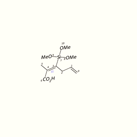 C=CC/C(=C(/C)C(=O)O)[Si](OC)(OC)OC